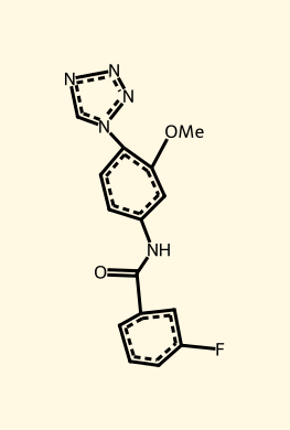 COc1cc(NC(=O)c2cccc(F)c2)ccc1-n1cnnn1